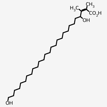 CC(C(=O)O)=C(C)C(O)CCCCCCCCCCCCCCCCCCCCCCCO